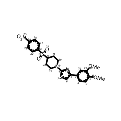 COc1ccc(-c2csc(N3CCC(S(=O)(=O)c4ccc([N+](=O)[O-])cc4)CC3)n2)cc1OC